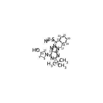 CC(C)(C)c1nc(N2CC[C@H](O)C2)c2nnn(Cc3ccccc3CSC#N)c2n1